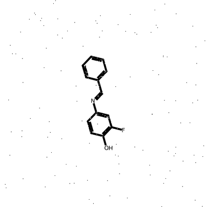 Oc1ccc(N=Cc2ccccc2)cc1F